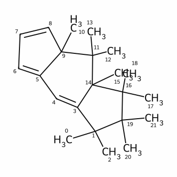 CC1(C)C2=CC3=CC=CC3(C)C(C)(C)C2(C)C(C)(C)C1(C)C